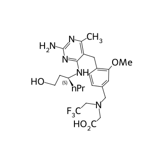 CCC[C@@H](CCO)Nc1nc(N)nc(C)c1Cc1ccc(CN(CC(=O)O)CC(F)(F)F)cc1OC